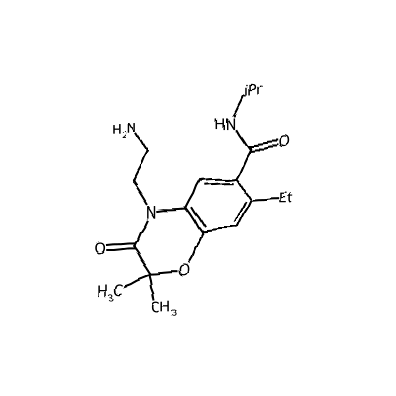 CCc1cc2c(cc1C(=O)NC(C)C)N(CCN)C(=O)C(C)(C)O2